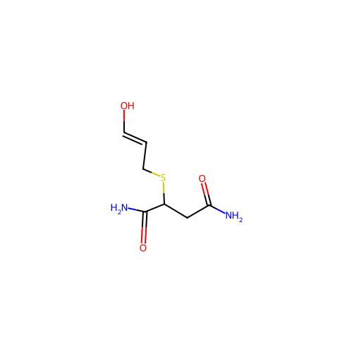 NC(=O)CC(SCC=CO)C(N)=O